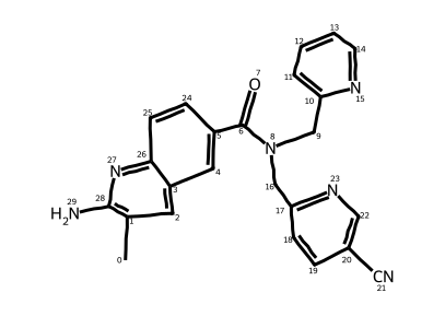 Cc1cc2cc(C(=O)N(Cc3ccccn3)Cc3ccc(C#N)cn3)ccc2nc1N